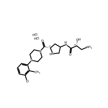 Cc1c(Cl)cccc1N1CCN(C(=O)[C@@H]2CC(NC(=O)[C@H](O)CN)CN2)CC1.Cl.Cl